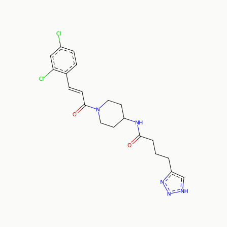 O=C(CCCc1c[nH]nn1)NC1CCN(C(=O)/C=C/c2ccc(Cl)cc2Cl)CC1